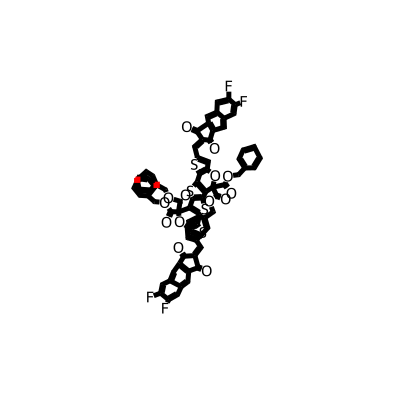 O=C1C(=Cc2cc3c(s2)-c2sc4c5c(sc4c2C(C(=O)OCc2ccccc2)(C(=O)OCc2ccccc2)O3)-c2sc(C=C3C(=O)c4cc6cc(F)c(F)cc6cc4C3=O)cc2OC5(C(=O)OCc2ccccc2)C(=O)OCc2ccccc2)C(=O)c2cc3cc(F)c(F)cc3cc21